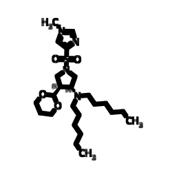 CCCCCCN(CCCCCC)[C@H]1CN(S(=O)(=O)c2cn(C)cn2)C[C@@H]1C1OCCCO1